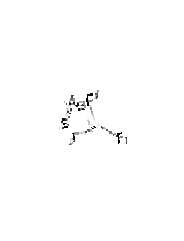 FC(F)F.[S]=[Ag]